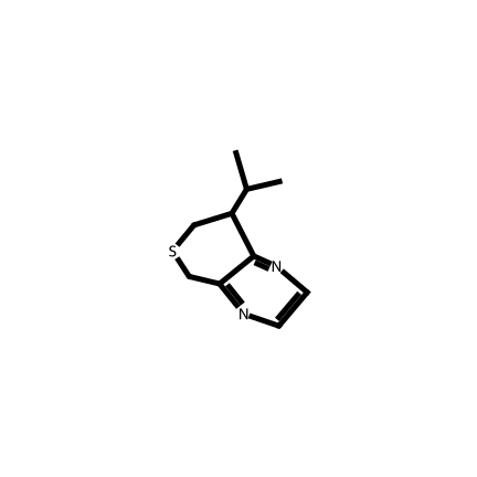 CC(C)C1CSCc2nccnc21